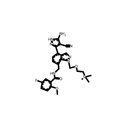 COc1ccc(F)cc1C(=O)NCc1ccc(-c2n[nH]c(N)c2C#N)c2cnn(COCC[Si](C)(C)C)c12